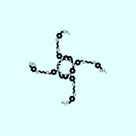 C=Cc1ccc(OCCCCOCc2ccc(-n3c4ccc(cc4)n(-c4ccc(COCCCCOc5ccc(C=C)cc5)cc4)c4ccc5ccc(cc5c4)n(-c4ccc(COCCCCOc5ccc(C=C)cc5)cc4)c4ccc(cc4)n(-c4ccc(COCCCCOc5ccc(C=C)cc5)cc4)c4ccc5ccc3cc5c4)cc2)cc1